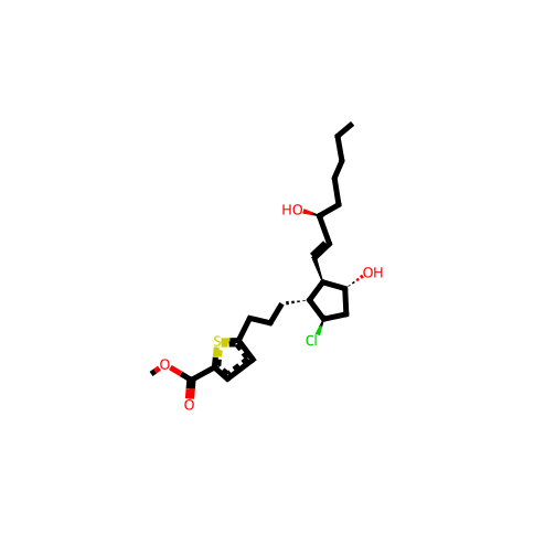 CCCCC[C@H](O)/C=C/[C@@H]1[C@@H](CCCc2ccc(C(=O)OC)s2)[C@H](Cl)C[C@H]1O